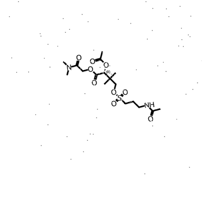 CC(=O)NCCCS(=O)(=O)OCC(C)(C)[C@@H](OC(C)=O)C(=O)OCC(=O)N(C)C